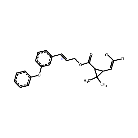 CC1(C)C(C=C(Cl)Cl)C1C(=O)OC/C=C/c1cccc(Oc2ccccc2)c1